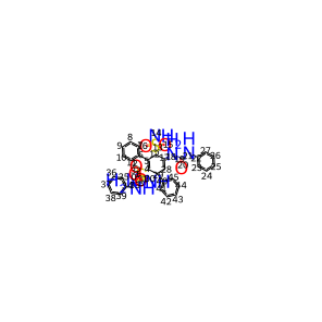 NS(=O)(=O)C1=C(c2ccccc2)C(S(N)(=O)=O)C(NC(=O)Nc2ccccc2)=CC1(NC(=O)Nc1ccccc1)c1ccccc1